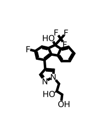 OC[C@H](O)Cn1cc(-c2cc(F)cc3c2-c2ccccc2C3(O)C(F)(F)F)cn1